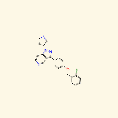 Fc1ccccc1COc1ccc(-c2nn([C@@H]3CCNC3)c3ccncc23)cc1